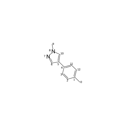 Cc1ccc(-c2cnn(C)c2)cc1